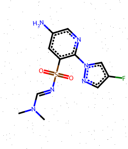 CN(C)C=NS(=O)(=O)c1cc(N)cnc1-n1cc(F)cn1